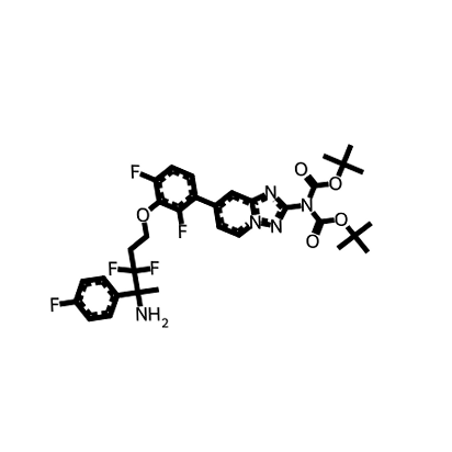 CC(C)(C)OC(=O)N(C(=O)OC(C)(C)C)c1nc2cc(-c3ccc(F)c(OCCC(F)(F)C(C)(N)c4ccc(F)cc4)c3F)ccn2n1